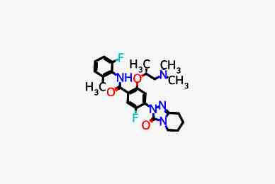 Cc1cccc(F)c1NC(=O)c1cc(F)c(-n2nc3n(c2=O)CCCC3)cc1O[C@@H](C)CN(C)C